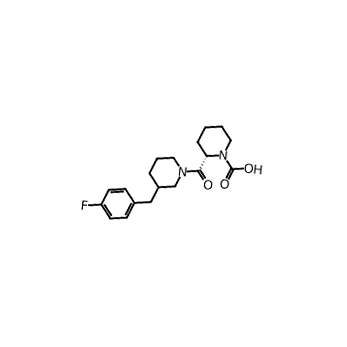 O=C([C@@H]1CCCCN1C(=O)O)N1CCCC(Cc2ccc(F)cc2)C1